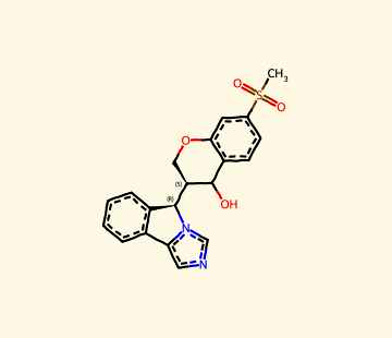 CS(=O)(=O)c1ccc2c(c1)OC[C@H]([C@@H]1c3ccccc3-c3cncn31)C2O